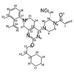 C=CC(=O)N1CCN(c2nc(OCC(C)C3CCCCC3)nc3c2CCN(c2cccc(C)c2C(=C)C)C3)C[C@@H]1CC#N